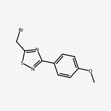 COc1ccc(-c2nsc(CBr)n2)cc1